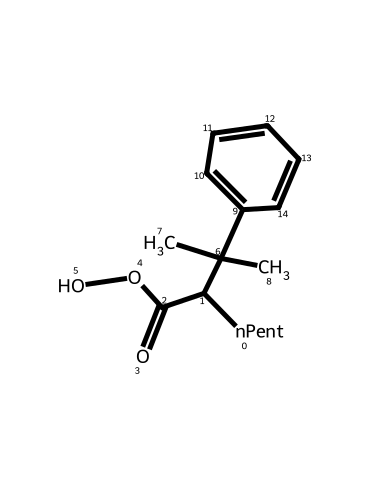 CCCCCC(C(=O)OO)C(C)(C)c1ccccc1